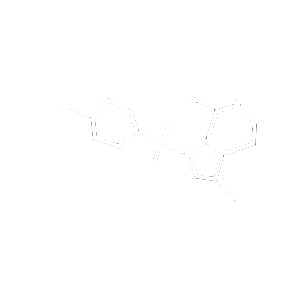 Cc1ccc(S(=O)(=O)n2cc(I)c3ccnc(Cl)c32)cc1